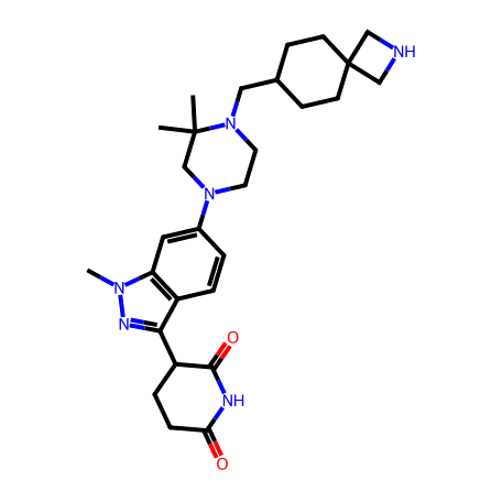 Cn1nc(C2CCC(=O)NC2=O)c2ccc(N3CCN(CC4CCC5(CC4)CNC5)C(C)(C)C3)cc21